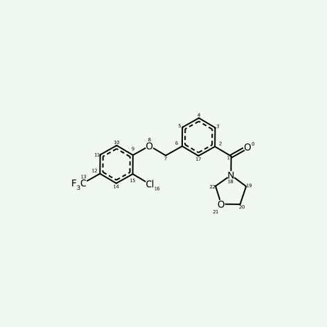 O=C(c1cccc(COc2ccc(C(F)(F)F)cc2Cl)c1)N1CCOC1